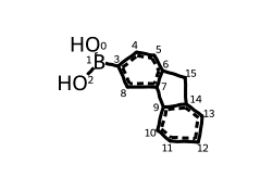 OB(O)c1ccc2c(c1)-c1ccccc1C2